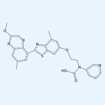 COc1cnc2c(-c3nc4c(C)cc(OCCN(C(=O)O)c5cccnc5)cc4s3)cc(C)cc2n1